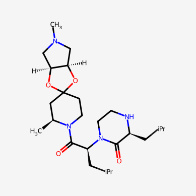 CC(C)C[C@@H]1NCCN([C@@H](CC(C)C)C(=O)N2CCC3(C[C@@H]2C)O[C@H]2CN(C)C[C@H]2O3)C1=O